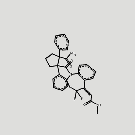 CNC(=O)C=C1c2ccccc2N(C(=O)C2(c3ccccc3)CCCC2(C(N)=O)c2ccccc2)CCC1(F)F